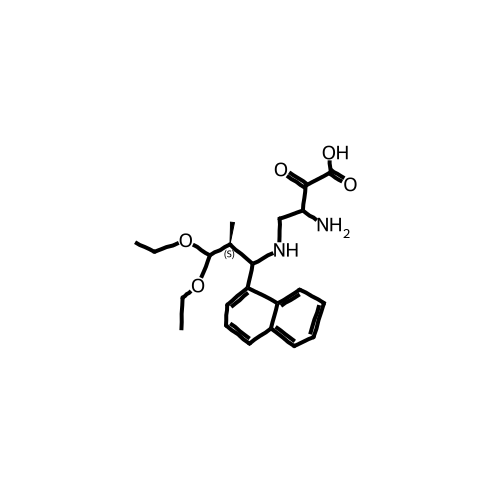 CCOC(OCC)[C@@H](C)C(NCC(N)C(=O)C(=O)O)c1cccc2ccccc12